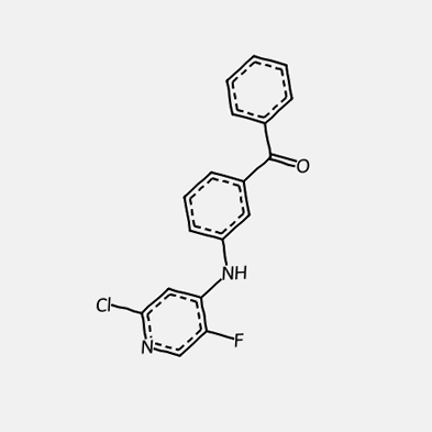 O=C(c1ccccc1)c1cccc(Nc2cc(Cl)ncc2F)c1